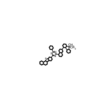 CC1(C)c2ccccc2-c2c(-c3ccc4c(-c5nc(-c6ccccc6)nc(-c6ccc7c(c6)sc6c8ccccc8ccc76)n5)cccc4c3)cccc21